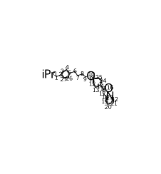 CC(C)Cc1ccc(CCCCOc2ccc(C(=O)Cc3ccccn3)cc2)cc1